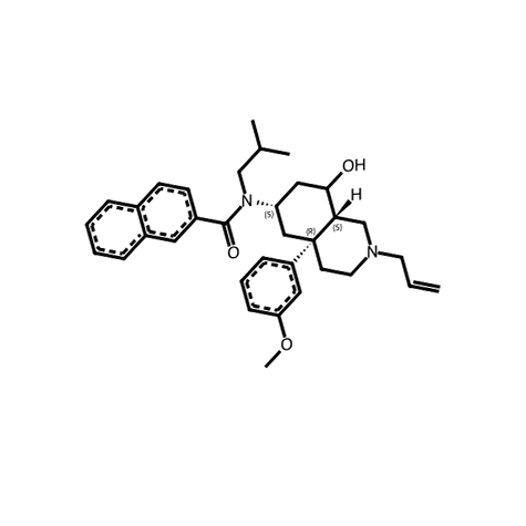 C=CCN1CC[C@@]2(c3cccc(OC)c3)C[C@H](N(CC(C)C)C(=O)c3ccc4ccccc4c3)CC(O)[C@@H]2C1